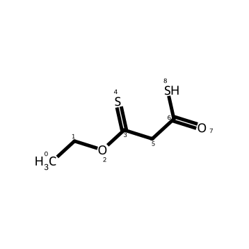 CCOC(=S)CC(=O)S